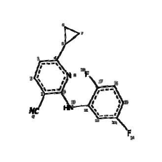 N#Cc1ccc(C2CC2)nc1Nc1cc(F)ccc1F